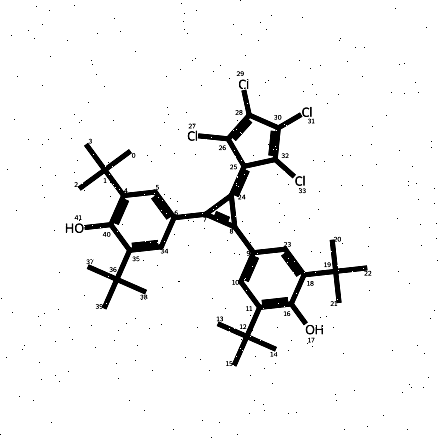 CC(C)(C)c1cc(C2=C(c3cc(C(C)(C)C)c(O)c(C(C)(C)C)c3)C2=C2C(Cl)=C(Cl)C(Cl)=C2Cl)cc(C(C)(C)C)c1O